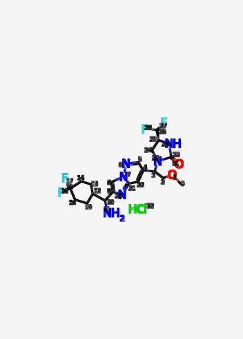 COCC(c1cnn2cc(C(N)C3CCC(F)(F)CC3)nc2c1)N1C[C@@H](C(F)F)NC1=O.Cl